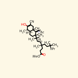 CCCC(C)(C)CC[C@](C)(CCC(=O)OC)CCC(C)(C)[C@]1(C)CC[C@H]2[C@H](C)C(O)=C(C#N)C[C@]2(C)/C1=C/C(C)=O